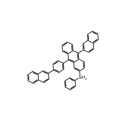 c1ccc([SiH2]c2ccc3c(-c4ccc5ccccc5c4)c4ccccc4c(-c4ccc(-c5ccc6ccccc6c5)cc4)c3c2)cc1